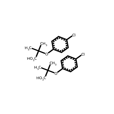 CC(C)(Oc1ccc(Cl)cc1)C(=O)O.CC(C)(Oc1ccc(Cl)cc1)C(=O)O